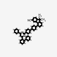 CC1(C)c2ccc(C#N)cc2-c2c(-c3ccc(-c4ccc(-c5nc(-c6ccccc6)cc(-c6ccccc6-c6ccccc6)n5)cc4)cc3)cccc21